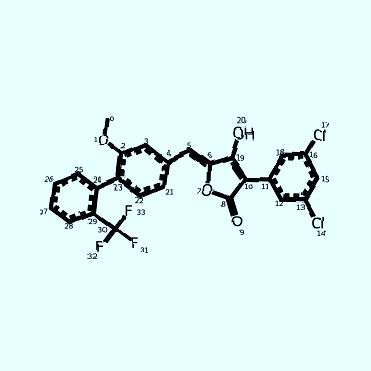 COc1cc(/C=C2\OC(=O)C(c3cc(Cl)cc(Cl)c3)=C2O)ccc1-c1ccccc1C(F)(F)F